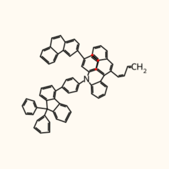 C=C/C=C\c1cc2ccccc2cc1-c1ccccc1N(c1ccc(-c2cccc3c2-c2ccccc2C3(c2ccccc2)c2ccccc2)cc1)c1cccc(-c2ccc3ccc4ccccc4c3c2)c1